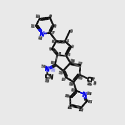 Cc1cc2c(cc1-c1ccccn1)/C(=N/C#N)c1cc(-c3ccccn3)c(C(F)(F)F)cc1-2